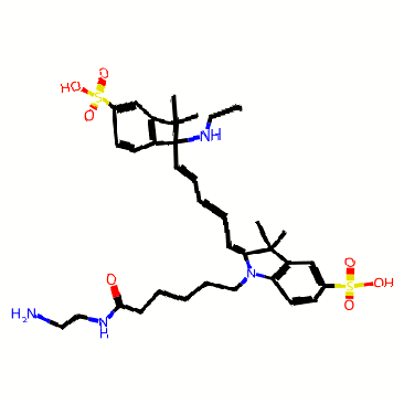 CCNC1(/C=C/C=C/C=C2/N(CCCCCC(=O)NCCN)c3ccc(S(=O)(=O)O)cc3C2(C)C)c2ccc(S(=O)(=O)O)cc2C1(C)C